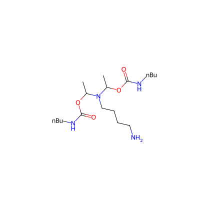 CCCCNC(=O)OC(C)N(CCCCN)C(C)OC(=O)NCCCC